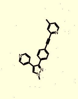 Cc1ccnc(C#Cc2ccc(-c3nn(C)cc3-c3ccncc3)cc2)c1